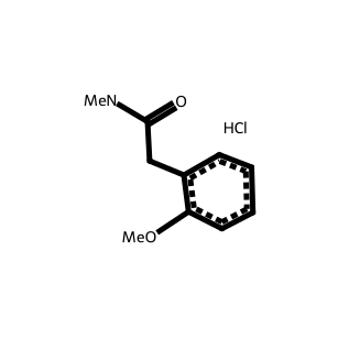 CNC(=O)Cc1ccccc1OC.Cl